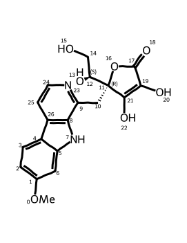 COc1ccc2c(c1)[nH]c1c(C[C@]3([C@@H](O)CO)OC(=O)C(O)=C3O)nccc12